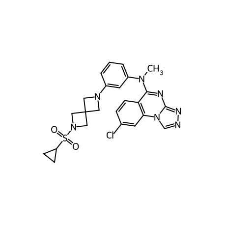 CN(c1cccc(N2CC3(C2)CN(S(=O)(=O)C2CC2)C3)c1)c1nc2nncn2c2cc(Cl)ccc12